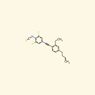 C=CCCc1ccc(C#Cc2cc(F)c(N=C=S)c(F)c2)c(CC)c1